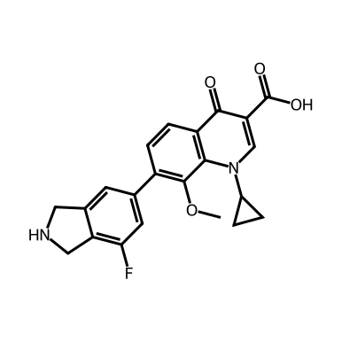 COc1c(-c2cc(F)c3c(c2)CNC3)ccc2c(=O)c(C(=O)O)cn(C3CC3)c12